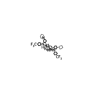 FC(F)(F)c1ccc(Nc2cc(C3CCCCC3)ccc2C2=CC3=CC(c4ccc(N5CCCCC5)cc4Nc4ccc(C(F)(F)F)cc4)=NC4=NC=NC(=N2)N34)cc1